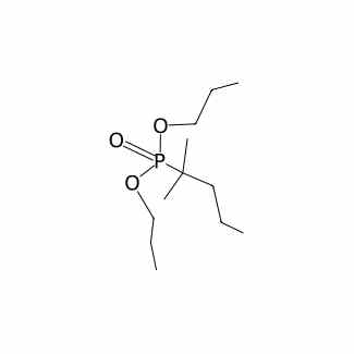 CCCOP(=O)(OCCC)C(C)(C)CCC